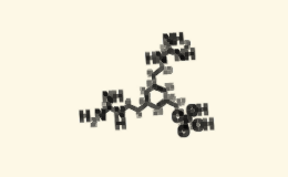 N=C(N)NCCc1cc(CCNC(=N)N)cc(COP(=O)(O)O)c1